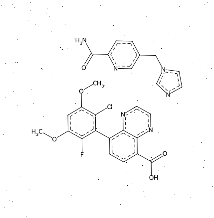 COc1cc(OC)c(Cl)c(-c2ccc(C(=O)O)c3nccnc23)c1F.NC(=O)c1ccc(Cn2ccnc2)cn1